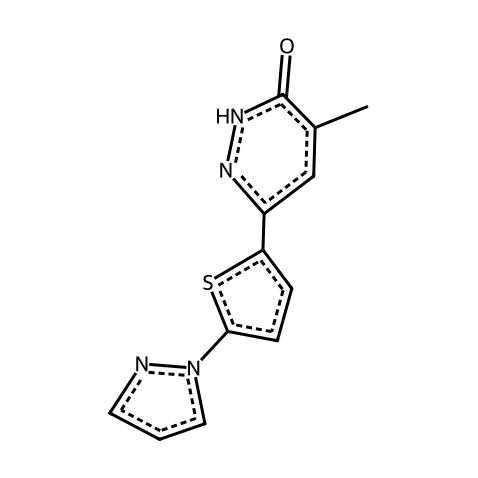 Cc1cc(-c2ccc(-n3cccn3)s2)n[nH]c1=O